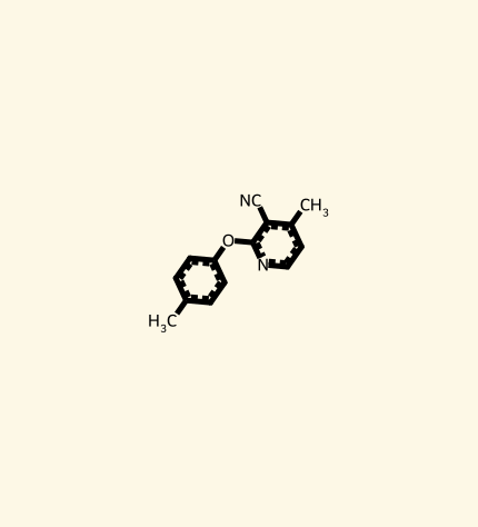 Cc1ccc(Oc2nccc(C)c2C#N)cc1